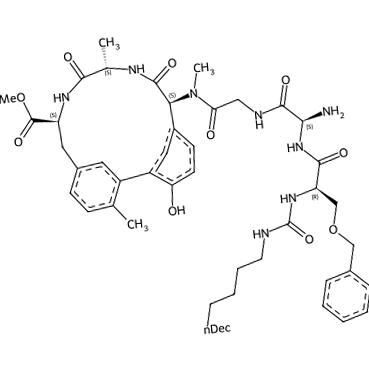 CCCCCCCCCCCCCCNC(=O)N[C@H](COCc1ccccc1)C(=O)N[C@H](N)C(=O)NCC(=O)N(C)[C@@H]1C(=O)N[C@@H](C)C(=O)N[C@H](C(=O)OC)Cc2ccc(C)c(c2)-c2cc1ccc2O